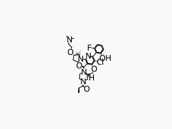 C=CC(=O)N1CCN2C(=O)c3c(N4CCC(OCCN(C)C)[C@@H]4C)nc(-c4c(O)cccc4F)c(Cl)c3OC[C@H]2C1